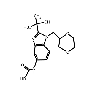 CC(C)(C)c1nc2cc(NC(=O)O)ccc2n1CC1COCCO1